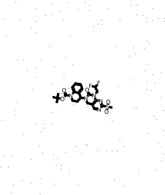 CC(C)(C)OC(=O)N1CCC(N2Cc3cnc(S(C)(=O)=O)nc3N(CC(F)F)C2=O)c2ccccc21